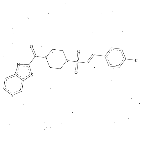 O=C(c1nc2ccncc2s1)N1CCN(S(=O)(=O)C=Cc2ccc(Cl)cc2)CC1